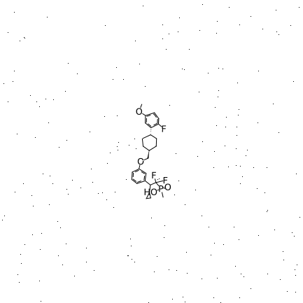 COc1ccc(F)c([C@H]2CC[C@H](COc3cccc(C(C4CC4)C(F)(F)P(C)(=O)O)c3)CC2)c1